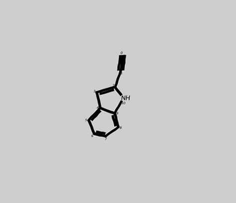 [C]#Cc1cc2ccccc2[nH]1